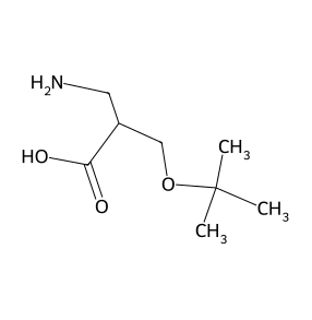 CC(C)(C)OCC(CN)C(=O)O